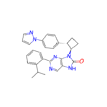 CC(C)c1ccccc1-c1ncc2[nH]c(=O)n([C@@H]3CC[C@H]3c3ccc(-n4cccn4)cc3)c2n1